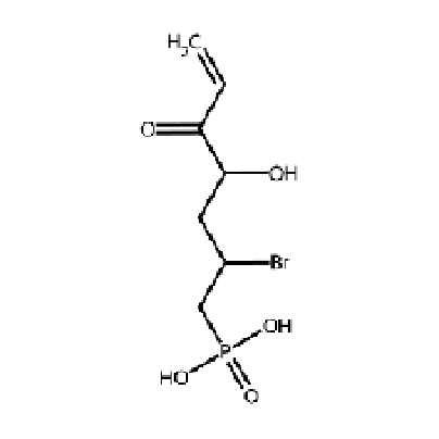 C=CC(=O)C(O)CC(Br)CP(=O)(O)O